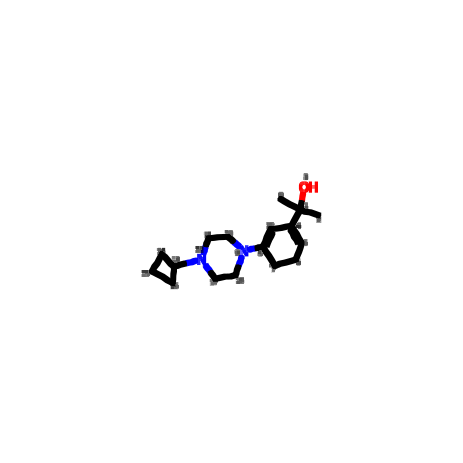 CC(C)(O)C1=CC[CH]C(N2CCN(C3CCC3)CC2)=C1